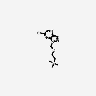 C[Si](C)(C)CCOCn1ncc2ncc(Cl)nc21